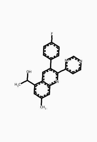 Cc1cc(C(C)O)c2cc(-c3ccc(F)cc3)c(-c3ccncn3)nc2c1